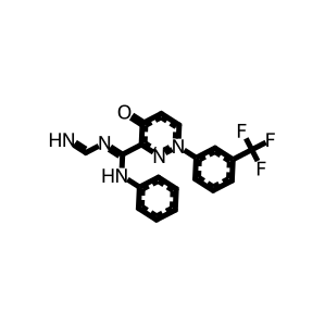 N=C/N=C(\Nc1ccccc1)c1nn(-c2cccc(C(F)(F)F)c2)ccc1=O